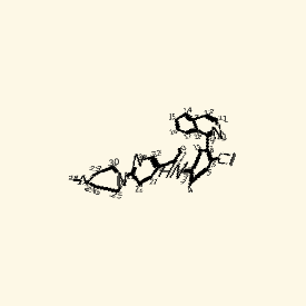 CC(Nc1ccc(Cl)c(-c2nccc3ccccc23)c1)c1ccc(N2CCN(C)CC2)nc1